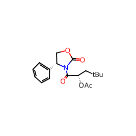 CC(=O)O[C@@H](CC(C)(C)C)C(=O)N1C(=O)OC[C@H]1c1ccccc1